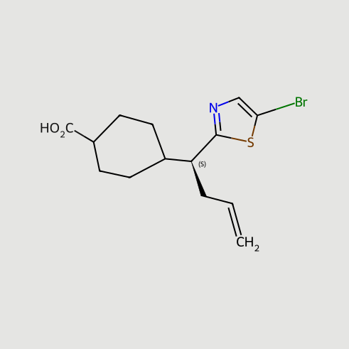 C=CC[C@H](c1ncc(Br)s1)C1CCC(C(=O)O)CC1